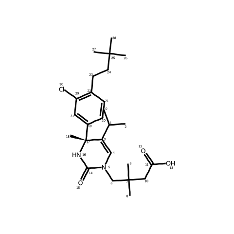 CC(C)C1=CN(CC(C)(C)CC(=O)O)C(=O)N[C@]1(C)c1ccc(CCC(C)(C)C)c(Cl)c1